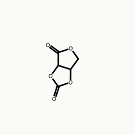 O=C1OC2COC(=O)C2O1